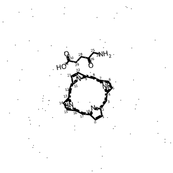 C1=Cc2cc3ccc(cc4nc(cc5ccc(cc1n2)[nH]5)C=C4)[nH]3.NCC(=O)CCC(=O)O